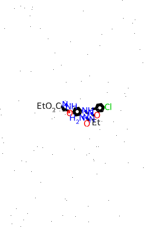 CCOC(=O)c1cc(Oc2ccc(NC3N(N)C(=O)N(CC)C(=O)N3Cc3ccc(Cl)cc3)cc2)[nH]n1